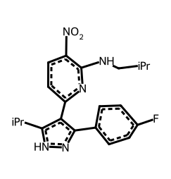 CC(C)CNc1nc(-c2c(-c3ccc(F)cc3)n[nH]c2C(C)C)ccc1[N+](=O)[O-]